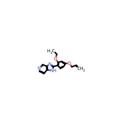 C=CCOc1ccc(-c2nc3cnccc3[nH]2)c(OCC)c1